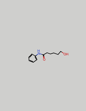 O=C(CCCCCO)Nc1ccccc1